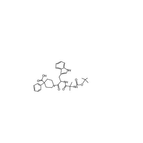 CC(C)(C)OC(=O)NC(C)(C)C(=O)NC(Cc1c[nH]c2ccccc12)C(=O)N1CCC(C(=O)O)(c2ccccc2)CC1